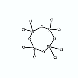 Cl[Si]1(Cl)O[Si](Cl)(Cl)O[Si](Cl)(Cl)O[Si](Cl)(Cl)O1